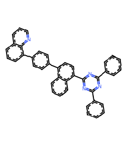 c1ccc(-c2nc(-c3ccccc3)nc(-c3ccc(-c4ccc(-c5cccc6cccnc56)cc4)c4ccccc34)n2)cc1